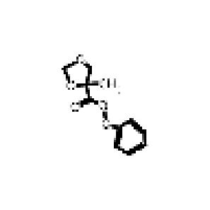 CC1(C(=O)OOc2ccccc2)COCO1